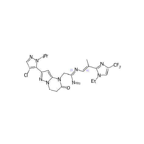 C=N/C(CN1C(=O)CCn2nc(-c3c(Cl)cnn3C(C)C)cc21)=N\C=C(/C)c1nc(C(F)(F)F)cn1CC